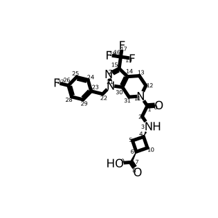 O=C(CN[C@H]1C[C@H](C(=O)O)C1)N1CCc2c(C(F)(F)F)nn(Cc3ccc(F)cc3)c2C1